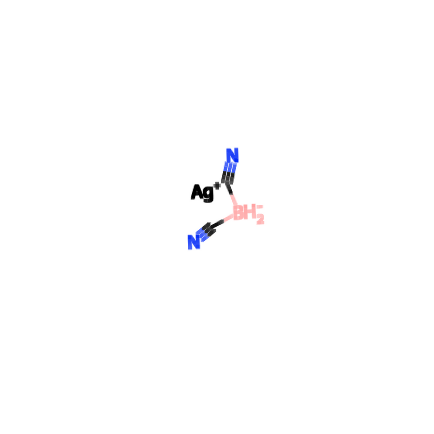 N#C[BH2-]C#N.[Ag+]